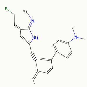 C=C(/C=C\C(C#CC1=CC(=C/CF)/C(=N\CC)N1)=C/C)c1ccc(N(C)C)cc1